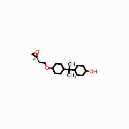 CC(C)(C1CCC(O)CC1)C1CCC(OCC[C@H]2CO2)CC1